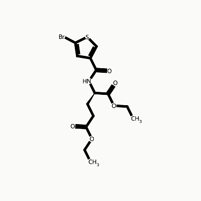 CCOC(=O)CC[C@@H](NC(=O)c1csc(Br)c1)C(=O)OCC